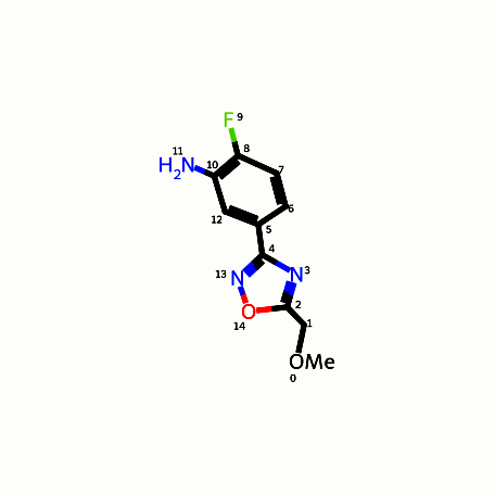 COCc1nc(-c2ccc(F)c(N)c2)no1